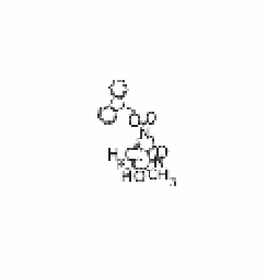 C[C@H]1CN(C(=O)OCC2c3ccccc3-c3ccccc32)Cc2onc(C(C)(O)C(F)(F)F)c21